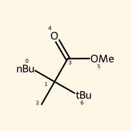 CCCCC(C)(C(=O)OC)C(C)(C)C